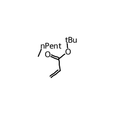 C=CC(=O)OC(C)(C)C.CCCCCC